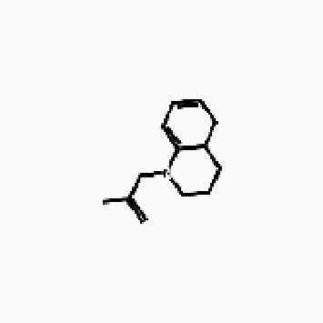 C=C(C)CN1CCCC2CC=CC=C21